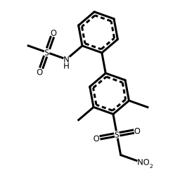 Cc1cc(-c2ccccc2NS(C)(=O)=O)cc(C)c1S(=O)(=O)C[N+](=O)[O-]